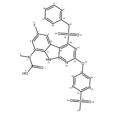 CN(C(=O)O)c1cc(F)cc2c1[nH]c1nc(Oc3cnc(S(C)(=O)=O)nc3)nc(S(=O)(=O)Cc3ccccc3)c12